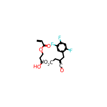 C=CC(=O)OCCCO.O=C=C(CC(=O)O)Cc1cc(F)c(F)cc1F